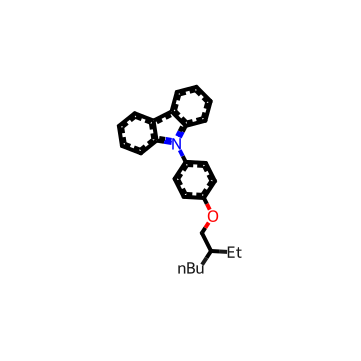 CCCCC(CC)COc1ccc(-n2c3ccccc3c3ccccc32)cc1